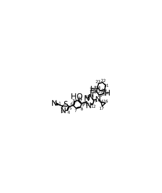 N#Cc1ncc(-c2ccc(-c3ncc(N(C4CC4)[C@H]4C[C@@H]5CCC[C@@H](C5)[C@H]4F)nn3)c(O)c2)s1